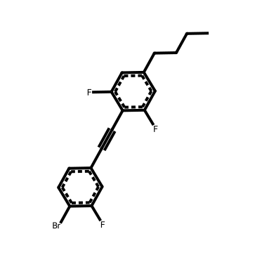 CCCCc1cc(F)c(C#Cc2ccc(Br)c(F)c2)c(F)c1